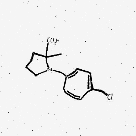 CC1(C(=O)O)CCCN1c1ccc(Cl)cc1